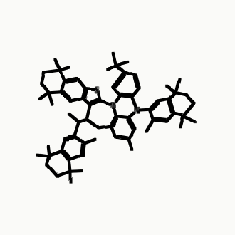 Cc1cc2c3c(c1)N(c1cc4c(cc1C)C(C)(C)CCC4(C)C)c1ccc(C(C)(C)C)cc1B3c1sc3cc4c(cc3c1C(C(C)c1cc3c(cc1C)C(C)(C)CCC3(C)C)C2)C(C)(C)CCC4(C)C